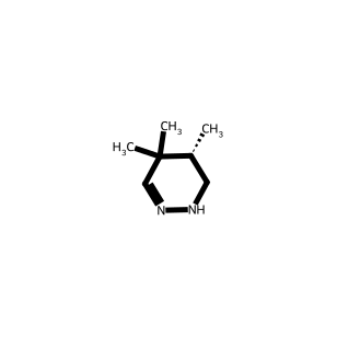 C[C@@H]1CNN=CC1(C)C